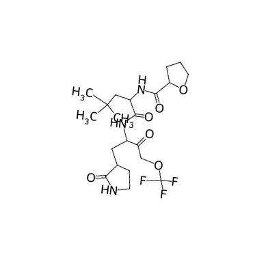 CC(C)(C)CC(NC(=O)C1CCCO1)C(=O)NC(CC1CCNC1=O)C(=O)COC(F)(F)F